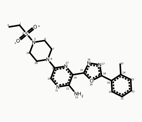 CCS(=O)(=O)N1CCN(c2cnc(N)c(-c3nnc(-c4ccccc4C)o3)n2)CC1